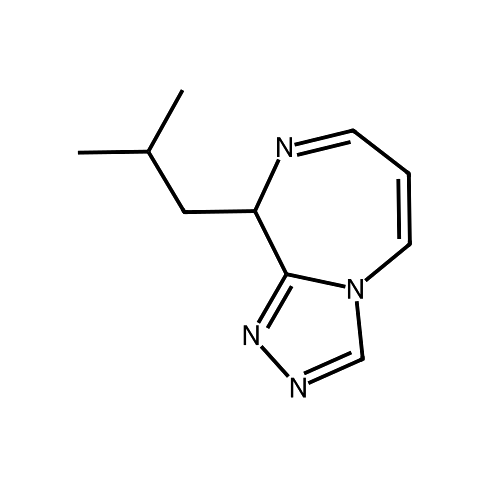 CC(C)CC1N=CC=Cn2cnnc21